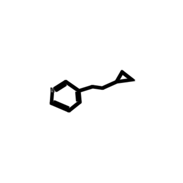 c1cncc(CCC2CC2)c1